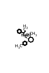 C=C/C(=N\OC[C@@H]1C(N(C)C)CCCC[C@@H]1c1ccc(C)cc1)c1ccccc1